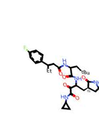 CCC(CC(=O)NC(CC(C)(C)C)C(=O)NC(C[C@@H]1CCNC1=O)C(=O)C(=O)NC1CC1)c1ccc(F)cc1